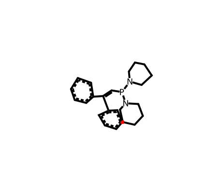 C(=C(c1ccccc1)c1ccccc1)P(N1CCCCC1)N1CCCCC1